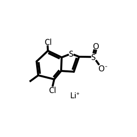 Cc1cc(Cl)c2sc(S(=O)[O-])cc2c1Cl.[Li+]